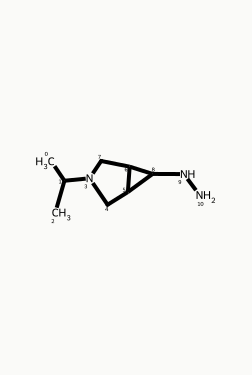 CC(C)N1CC2C(C1)C2NN